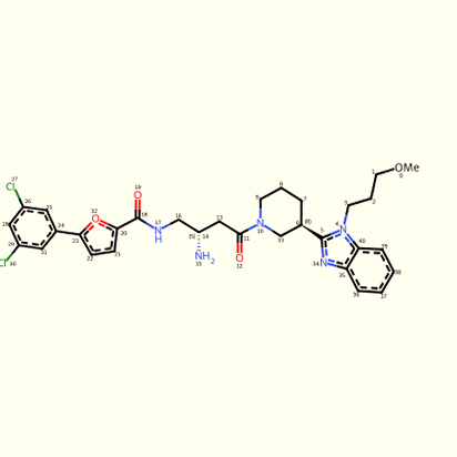 COCCCn1c([C@@H]2CCCN(C(=O)C[C@H](N)CNC(=O)c3ccc(-c4cc(Cl)cc(Cl)c4)o3)C2)nc2ccccc21